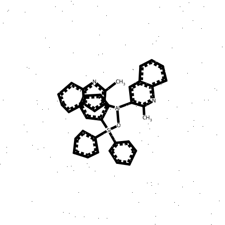 Cc1nc2ccccc2c[c]1[Al]([O][Si](c1ccccc1)(c1ccccc1)c1ccccc1)[c]1cc2ccccc2nc1C